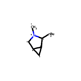 CCCCC1C2CC2CN1C